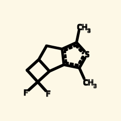 Cc1sc(C)c2c1CC1CC(F)(F)C21